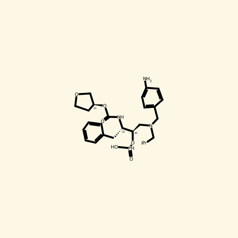 CC(C)CN(Cc1ccc(N)cc1)C[C@@H](O[PH](=O)O)[C@H](Cc1ccccc1)NC(=O)O[C@H]1CCOC1